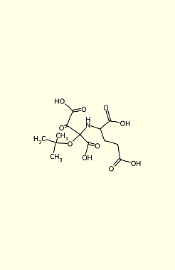 CC(C)(C)OC(NC(CCC(=O)O)C(=O)O)(C(=O)O)C(=O)C(=O)O